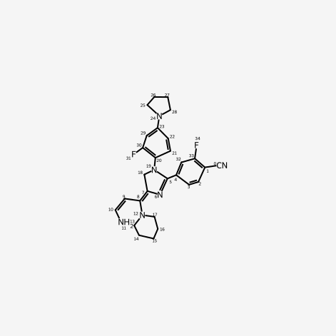 N#Cc1ccc(C2=N/C(=C(/C=C\N)N3CCCCC3)CN2c2ccc(N3CCCC3)cc2F)cc1F